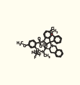 COc1ccc(S(=O)(=O)N2C(=O)C(c3ccccc3OC)(N3Cc4ccccc4C[C@H]3C(=O)N(C)C)c3cc(Cl)ccc32)c(OC(F)(F)F)c1